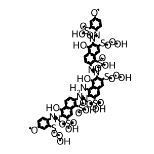 COc1ccc(N=Nc2c(S(=O)(=O)O)cc3c(S(=O)(=O)O)c(N=Nc4c(S(=O)(=O)O)cc5cc(SOOO)c(N=Nc6ccc7c(O)c(N=Nc8ccc(OC)cc8S(=O)(=O)O)c(SOOO)cc7c6S(=O)(=O)O)c(O)c5c4N)ccc3c2O)c(SOOO)c1